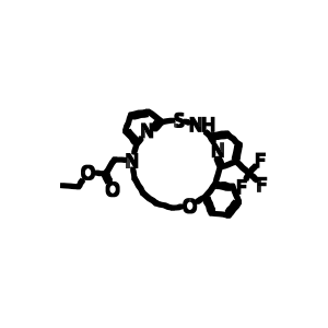 CCOC(=O)CN1CCCCOc2ccccc2-c2nc(ccc2C(F)(F)F)NSc2cccc1n2